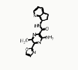 Cc1nc(C(=O)NC2CCc3cccnc32)c(N)nc1-c1ncco1